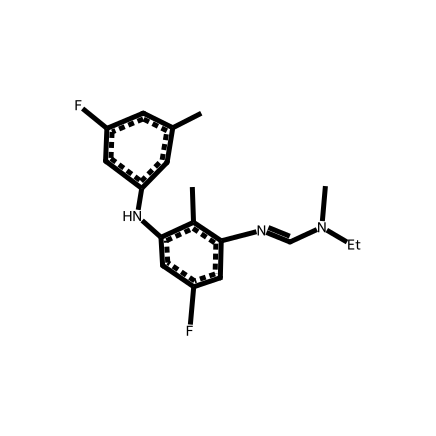 CCN(C)C=Nc1cc(F)cc(Nc2cc(C)cc(F)c2)c1C